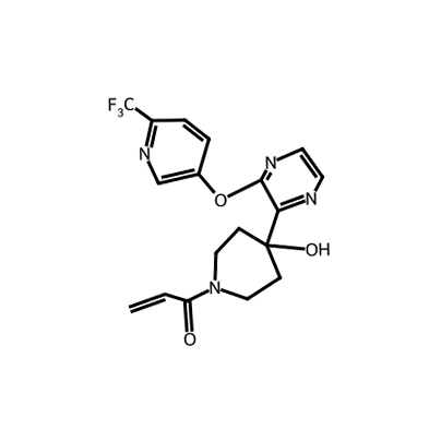 C=CC(=O)N1CCC(O)(c2nccnc2Oc2ccc(C(F)(F)F)nc2)CC1